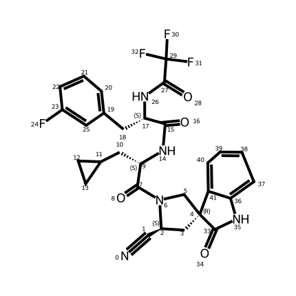 N#C[C@@H]1C[C@@]2(CN1C(=O)[C@H](CC1CC1)NC(=O)[C@H](Cc1cccc(F)c1)NC(=O)C(F)(F)F)C(=O)Nc1ccccc12